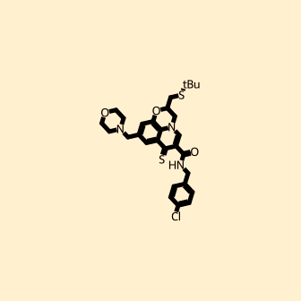 CC(C)(C)SCC1Cn2cc(C(=O)NCc3ccc(Cl)cc3)c(=S)c3cc(CN4CCOCC4)cc(c32)O1